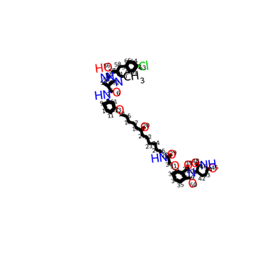 Cc1nc2c(C(=O)Nc3cccc(OCCCCCC(=O)CCCCCCNC(=O)COc4cccc5c4C(=O)N(C4CCC(=O)NC4=O)C5=O)c3)cnn2c(O)c1Cc1ccc(Cl)cc1